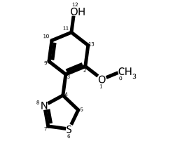 COC1=C(C2CSC=N2)C=CC(O)C1